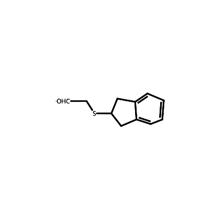 O=[C]CSC1Cc2ccccc2C1